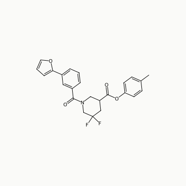 Cc1ccc(OC(=O)C2CN(C(=O)c3cccc(-c4ccco4)c3)CC(F)(F)C2)cc1